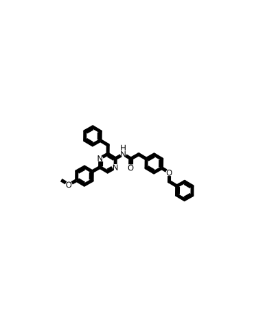 COc1ccc(-c2cnc(NC(=O)Cc3ccc(OCc4ccccc4)cc3)c(Cc3ccccc3)n2)cc1